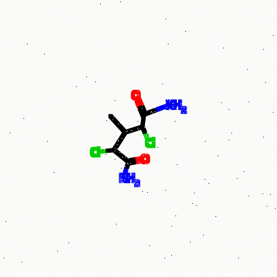 CC(C(Cl)C(N)=O)C(Cl)C(N)=O